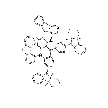 Cc1cc2c3c(c1)N(c1cccc4sc5ccccc5c14)c1cc(N4c5ccccc5C5(C)CCCCC45C)ccc1B3c1ccc(N3c4ccccc4C4(C)CCCCC34C)cc1N2c1cccc2c1sc1ccccc12